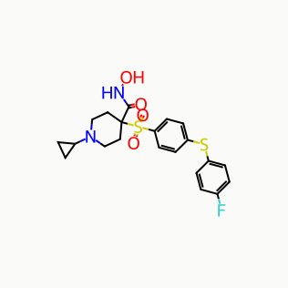 O=C(NO)C1(S(=O)(=O)c2ccc(Sc3ccc(F)cc3)cc2)CCN(C2CC2)CC1